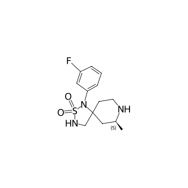 C[C@H]1CC2(CCN1)CNS(=O)(=O)N2c1cccc(F)c1